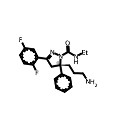 CCNC(=O)N1N=C(c2cc(F)ccc2F)C[C@@]1(CCCN)c1ccccc1